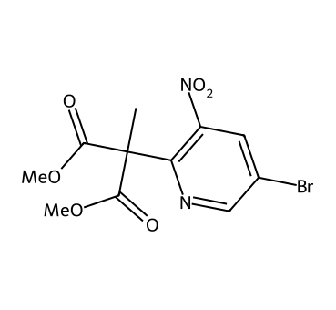 COC(=O)C(C)(C(=O)OC)c1ncc(Br)cc1[N+](=O)[O-]